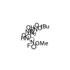 COc1cccc(F)c1N1CCc2c([nH]c(=O)c([N+](=O)[O-])c2N2CCN(C(=O)OC(C)(C)C)C[C@@H]2CO)C1